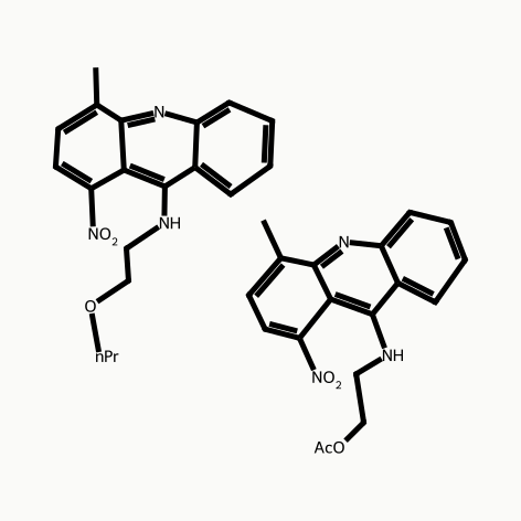 CC(=O)OCCNc1c2ccccc2nc2c(C)ccc([N+](=O)[O-])c12.CCCOCCNc1c2ccccc2nc2c(C)ccc([N+](=O)[O-])c12